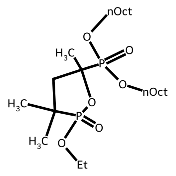 CCCCCCCCOP(=O)(OCCCCCCCC)C1(C)CC(C)(C)P(=O)(OCC)O1